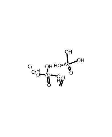 C=O.O=[As](O)(O)O.O=[As](O)(O)O.[Cr].[Cr]